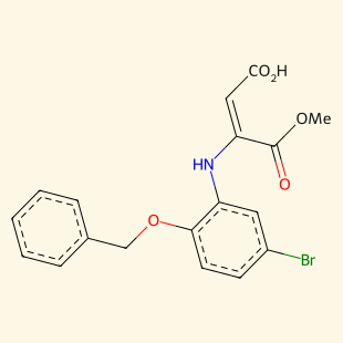 COC(=O)C(=CC(=O)O)Nc1cc(Br)ccc1OCc1ccccc1